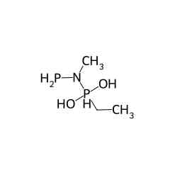 CC[PH](O)(O)N(C)P